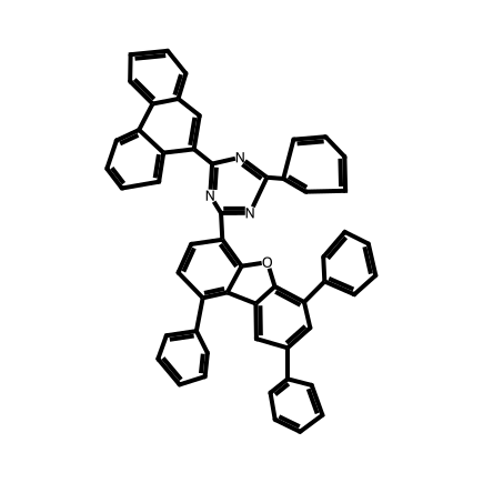 c1ccc(-c2cc(-c3ccccc3)c3oc4c(-c5nc(-c6ccccc6)nc(-c6cc7ccccc7c7ccccc67)n5)ccc(-c5ccccc5)c4c3c2)cc1